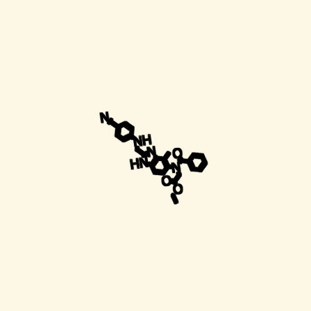 CCOC(=O)CN(C(=O)c1ccccc1)c1ccc2[nH]c(CNc3ccc(C#N)cc3)nc2c1C